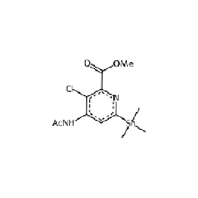 COC(=O)c1n[c]([Sn]([CH3])([CH3])[CH3])cc(NC(C)=O)c1Cl